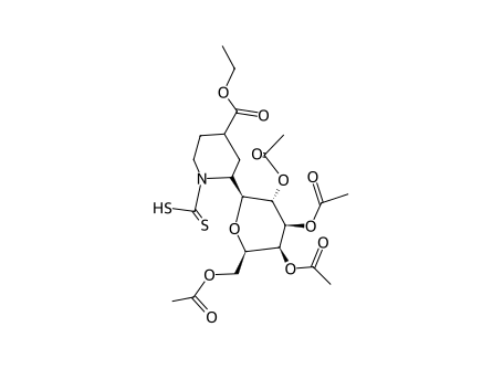 CCOC(=O)C1CCN(C(=S)S)C([C@@H]2O[C@H](COC(C)=O)[C@H](OC(C)=O)[C@H](OC(C)=O)[C@H]2OC(C)=O)C1